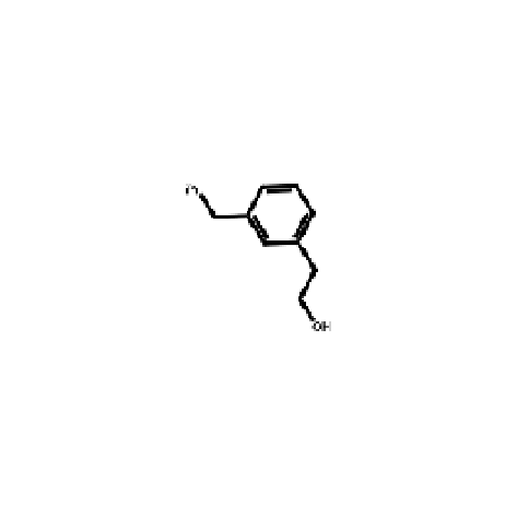 CC(C)Cc1cccc(CCO)c1